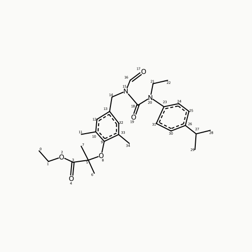 CCOC(=O)C(C)(C)Oc1c(C)cc(CN(C=O)C(=O)N(CC)c2ccc(C(C)C)cc2)cc1C